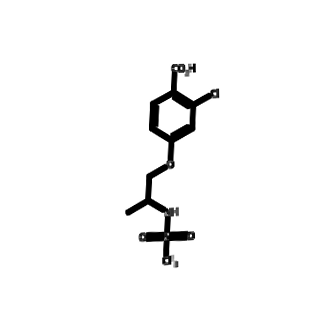 CC(COc1ccc(C(=O)O)c(Cl)c1)NS(=O)(=O)C(F)(F)F